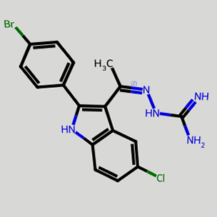 C/C(=N/NC(=N)N)c1c(-c2ccc(Br)cc2)[nH]c2ccc(Cl)cc12